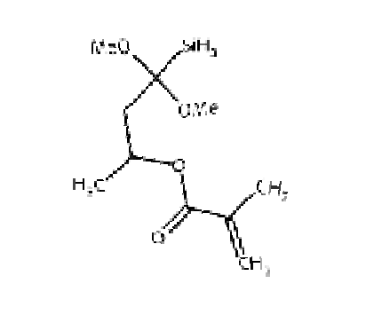 C=C(C)C(=O)OC(C)CC([SiH3])(OC)OC